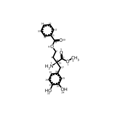 COC(=O)[C@@](N)(CCOC(=O)c1ccccc1)Cc1ccc(O)c(O)c1